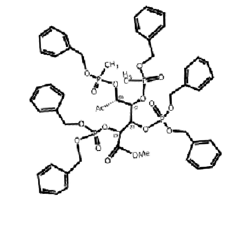 COC(=O)[C@@H](OP(=O)(OCc1ccccc1)OCc1ccccc1)[C@H](OP(=O)(OCc1ccccc1)OCc1ccccc1)[C@H](OP(C)(=O)OCc1ccccc1)[C@@H](OP(C)(=O)OCc1ccccc1)C(C)=O